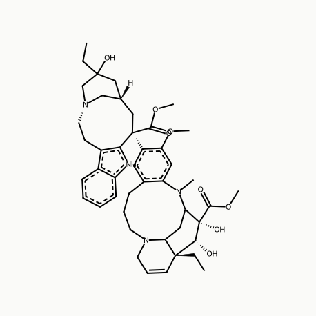 CCC1(O)C[C@H]2C[N@](CCc3c([nH]c4ccccc34)[C@@](C(=O)OC)(c3cc4c(cc3OC)N(C)C3CC5N(CC=C[C@@]5(CC)[C@@H](O)[C@]3(O)C(=O)OC)CCC4)C2)C1